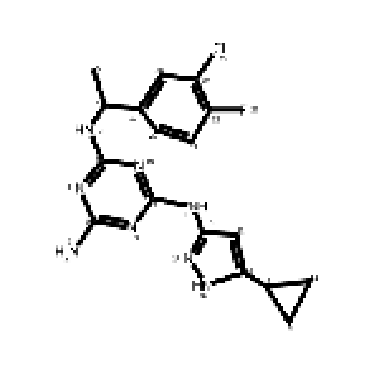 CC(Nc1nc(N)nc(Nc2cc(C3CC3)[nH]n2)n1)c1ccc(F)c(Cl)c1